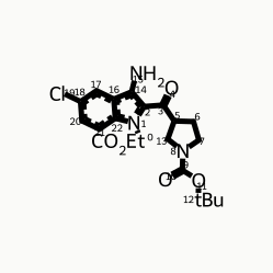 CCOC(=O)n1c(C(=O)C2CCN(C(=O)OC(C)(C)C)C2)c(N)c2cc(Cl)ccc21